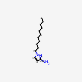 CCCCCCCCCCCn1ccc(N)n1